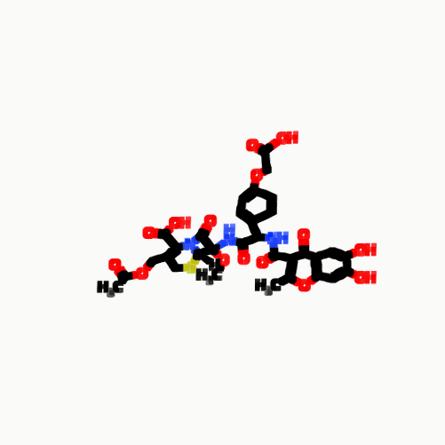 CO[C@@]1(NC(=O)C(NC(=O)c2c(C)oc3cc(O)c(O)cc3c2=O)c2ccc(OCC(=O)O)cc2)C(=O)N2C(C(=O)O)=C(COC(C)=O)CS[C@H]21